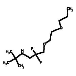 CCCOCCOCC(F)(F)CNC(C)(C)C